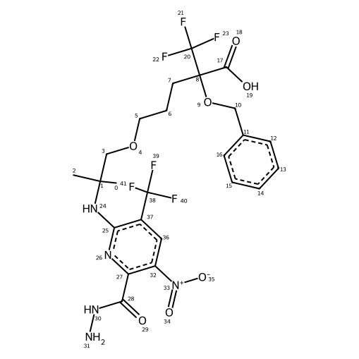 CC(C)(COCCCC(OCc1ccccc1)(C(=O)O)C(F)(F)F)Nc1nc(C(=O)NN)c([N+](=O)[O-])cc1C(F)(F)F